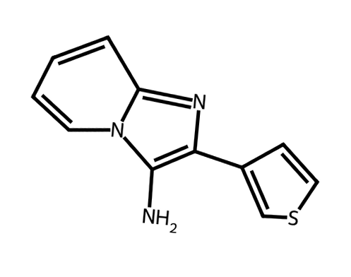 Nc1c(-c2ccsc2)nc2ccccn12